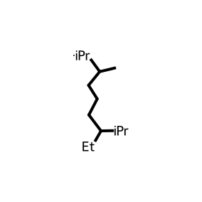 CCC(CCCC(C)[C](C)C)C(C)C